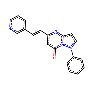 O=c1cc(/C=C/c2cccnc2)nc2ccn(-c3ccccc3)n12